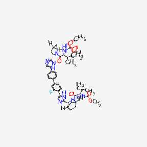 COC(=O)N[C@H](C(=O)N1[C@@H]2CC[C@@H](C2)[C@H]1c1ncc(-c2ccc(-c3ccc(-c4cnc([C@@H]5C[C@H]6C[C@H]6N5C(=O)[C@@H](NC(=O)OC)C(C)C)[nH]4)cc3)cc2F)[nH]1)C(C)C